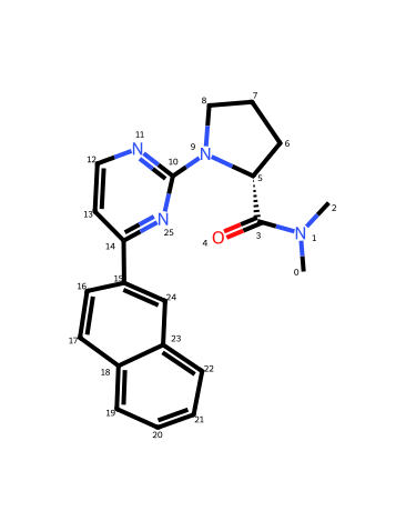 CN(C)C(=O)[C@H]1CCCN1c1nccc(-c2ccc3ccccc3c2)n1